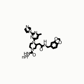 CCCNC(=O)N1CCN(c2cc(C)nc(-n3ccnc3)n2)C(CC(=O)NCc2ccc3c(c2)OCO3)C1